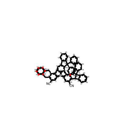 N#Cc1cc2c(c3c1C1c4ccccc4C3c3ccccc31)c1cc3c(c4c5c6c(c(C#N)cc5n2c14)C1c2ccccc2C12c1ccccc1C62)C(c1ccccc1)(c1ccccc1)c1ccccc1-3